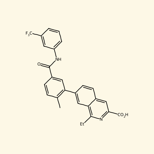 CCc1nc(C(=O)O)cc2ccc(-c3cc(C(=O)Nc4cccc(C(F)(F)F)c4)ccc3C)cc12